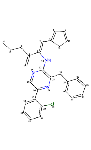 C=C(CCC)/C(=C/C1=CC=CC1)Nc1ncc(-c2ccccc2Cl)nc1Cc1ccccc1